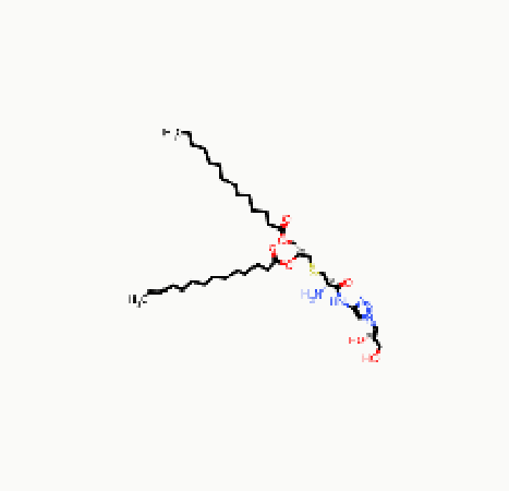 CCCCCCCCCCCCCC(=O)OC[C@H](CSC[C@@H](N)C(=O)Nc1cn(C[C@@H](O)CO)nn1)OC(=O)CCCCCCCCCCCCC